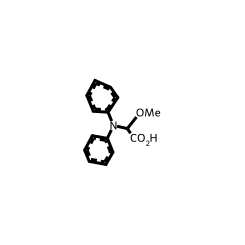 COC(C(=O)O)N(c1ccccc1)c1ccccc1